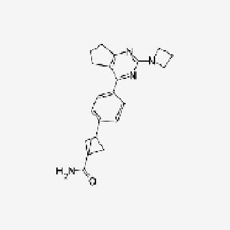 NC(=O)C12CC(c3ccc(-c4nc(N5CCC5)nc5c4CCC5)cc3)(C1)C2